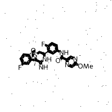 COc1cnc(C(=O)Nc2ccc(F)c([C@@H]3CS(=O)(=O)[C@](C)(c4cccc(F)c4)C(=N)N3)c2)cn1